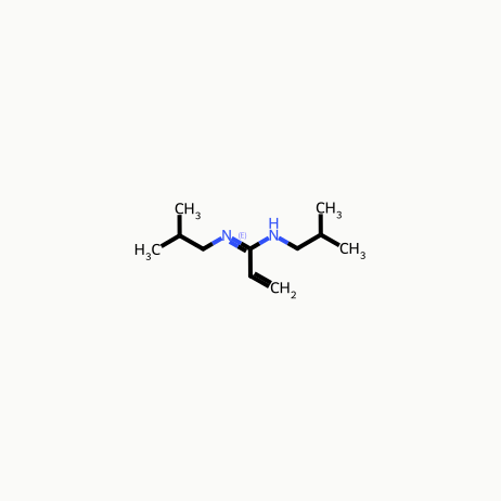 C=C/C(=N\CC(C)C)NCC(C)C